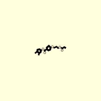 C=CC(=O)OCCCOc1ccc(C(=O)Oc2ccc(C)c(C)c2)cc1